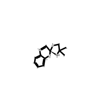 CC1(C)CO[C@]2(C=Nc3ccccc3O2)N1